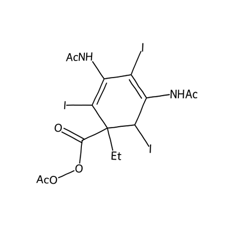 CCC1(C(=O)OOC(C)=O)C(I)=C(NC(C)=O)C(I)=C(NC(C)=O)C1I